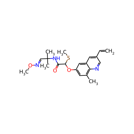 C=Cc1cnc2c(C)cc(OC(SC)C(=O)NC(C)(C)C=NOC)cc2c1